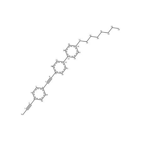 CC#Cc1ccc(C#Cc2ccc(-c3ccc(CCCCCCCC)cc3)cc2)cc1